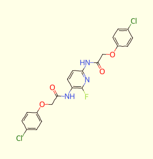 O=C(COc1ccc(Cl)cc1)Nc1ccc(NC(=O)COc2ccc(Cl)cc2)c(F)n1